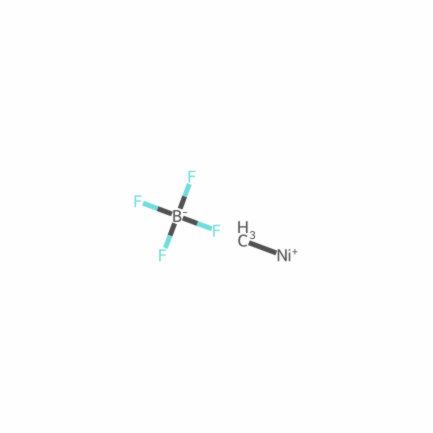 F[B-](F)(F)F.[CH3][Ni+]